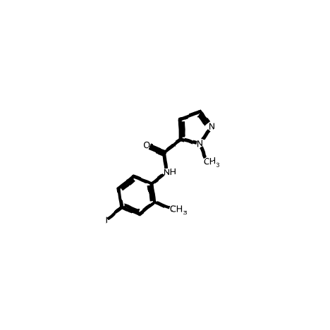 Cc1cc(I)ccc1NC(=O)c1ccnn1C